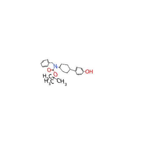 CC(C)(C)OC(=O)N(Cc1ccccc1)C1CCC(c2ccc(O)cc2)CC1